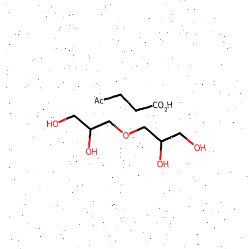 CC(=O)CCC(=O)O.OCC(O)COCC(O)CO